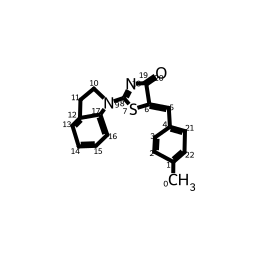 Cc1ccc(C=C2SC(N3CCc4ccccc43)=NC2=O)cc1